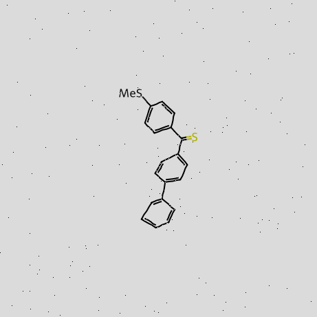 CSc1ccc(C(=S)c2ccc(-c3ccccc3)cc2)cc1